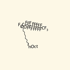 CCCCCCCCC=CCCCCCCCC(=O)OC(F)(C(F)(F)F)C(F)(F)C(F)(F)C(F)(F)C(F)(F)C(F)(F)C(F)(F)C(F)(F)C(F)(F)F